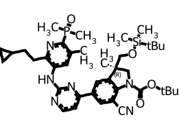 Cc1cc(Nc2nccc(-c3cc(C#N)c4c(c3)[C@@](C)(CO[Si](C)(C)C(C)(C)C)CN4C(=O)OC(C)(C)C)n2)c(CCC2CC2)nc1P(C)(C)=O